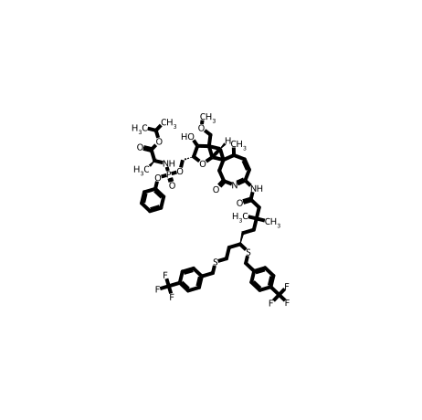 COCC12C(O)[C@@H](COP(=O)(N[C@@H](C)C(=O)OC(C)C)Oc3ccccc3)OC13[C@H]2C31CC(=O)/N=C(NC(=O)CC(C)(C)CC[C@H](CCSCc2ccc(C(F)(F)F)cc2)SCc2ccc(C(F)(F)F)cc2)\C=C/C1C